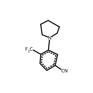 N#Cc1ccc(C(F)(F)F)c(N2CCCCC2)c1